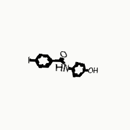 O=C(Nc1ccc(O)cc1)c1ccc(I)cc1